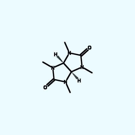 CN1C(=O)N(C)[C@H]2[C@@H]1N(C)C(=O)N2C